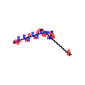 CC(C)(C)OC(=O)CCCCCCCCCCCCCC(=O)N[C@@H](CCC(=O)N[C@@H](CO)C(=O)NCC(=O)NCC(=O)NCC(=O)NCC(=O)NCCONC(=O)OC(C)(C)C)C(=O)OC(C)(C)C